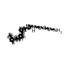 NCCCOCCOCCOCCCNCc1ccc(-c2cc3nccc(Oc4ccc(NC(=O)Nc5cc(C(F)(F)F)ccc5F)cc4F)c3s2)nc1